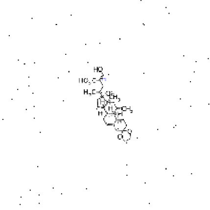 C=C1C[C@@]2(C)[C@@H](CC[C@@]2(O)C(=C)C/C(=C/O)C(=O)O)[C@@H]2CC=C3CC4(CC[C@@H]3[C@@H]12)OCCO4